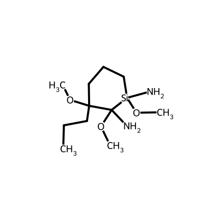 CCCC1(OC)CCC[Si](N)(OC)C1(N)OC